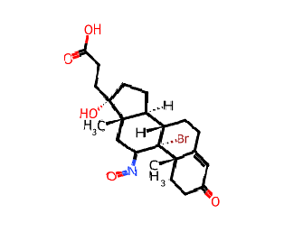 C[C@]12CCC(=O)C=C1CC[C@H]1[C@@H]3CC[C@](O)(CCC(=O)O)[C@@]3(C)CC(N=O)[C@@]12Br